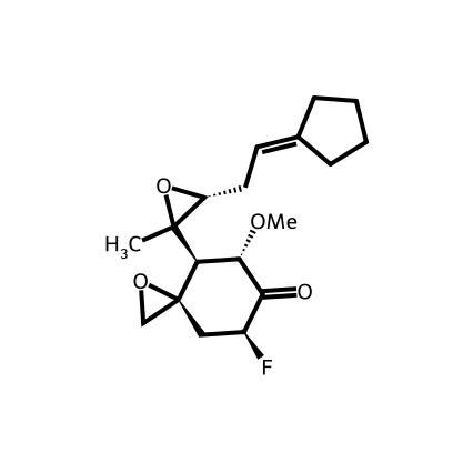 CO[C@@H]1C(=O)[C@@H](F)C[C@]2(CO2)[C@H]1C1(C)O[C@@H]1CC=C1CCCC1